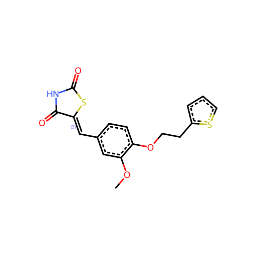 COc1cc(/C=C2\SC(=O)NC2=O)ccc1OCCc1cccs1